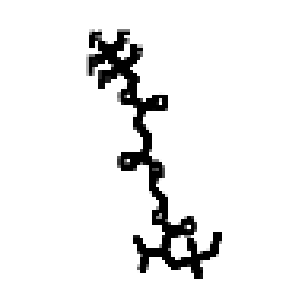 CCC(C)(C)CC(C(=O)OCCOC(=O)CCC(=O)OCC(F)(F)C(F)(F)F)C(C)C